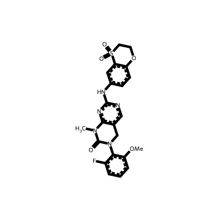 COc1cccc(F)c1N1Cc2cnc(Nc3ccc4c(c3)S(=O)(=O)CCO4)nc2N(C)C1=O